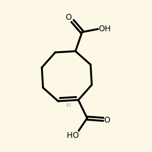 O=C(O)/C1=C/CCCC(C(=O)O)CC1